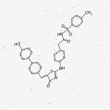 Cc1ccc(S(=O)(=O)NC(=O)Cc2ccc(NC3=NC(=O)C(=Cc4ccc(-c5ccc(O)cc5)cc4)S3)cc2)cc1